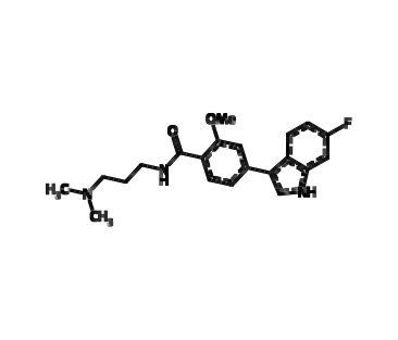 COc1cc(-c2c[nH]c3cc(F)ccc23)ccc1C(=O)NCCCN(C)C